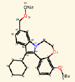 CCCCOc1cccc2c1OCCn1c-2c(C2CCCCC2)c2ccc(COOC)cc21